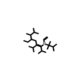 C=CN(/C(=C(\CC(CC)C(C)C(C)C)C(C)C)C(C)C)C(C)(C)C(C)C